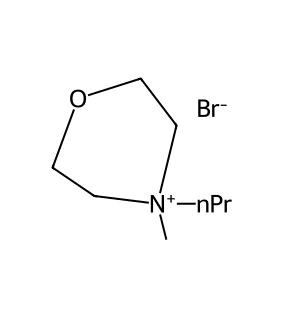 CCC[N+]1(C)CCOCC1.[Br-]